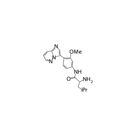 COc1cc(NC(=O)C(N)CC(C)C)ccc1-c1cnc2cccnn12